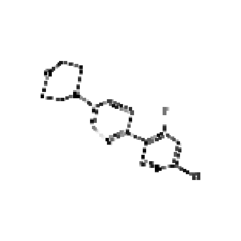 Fc1cc(Cl)ncc1-c1ccc(N2CCOCC2)cn1